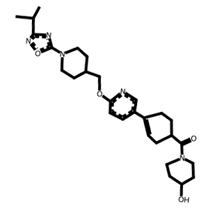 CC(C)c1noc(N2CCC(COc3ccc(C4=CCC(C(=O)N5CCC(O)CC5)CC4)cn3)CC2)n1